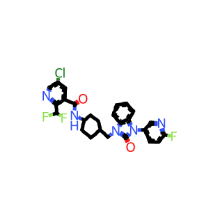 O=C(NC1CCC(Cn2c(=O)n(-c3ccc(F)nc3)c3ccccc32)CC1)c1cc(Cl)cnc1C(F)F